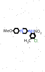 CO[C@H]1CC[C@@H](N2CCC(Nc3cc(C)c(Cl)cc3[N+](=O)[O-])CC2)CC1